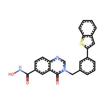 O=C(NO)c1ccc2ncn(Cc3cccc(-c4cc5ccccc5s4)c3)c(=O)c2c1